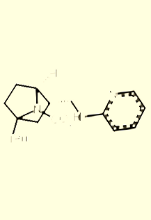 CC(C)(C)C12CC[C@@H]([C@H](COc3ccccn3)C1)N2C(=O)O